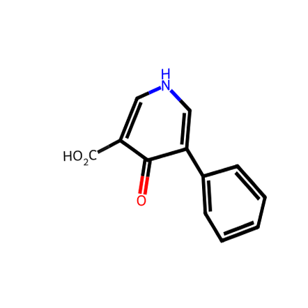 O=C(O)c1c[nH]cc(-c2ccccc2)c1=O